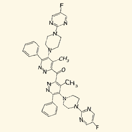 Cc1c(C(=O)c2nnc(-c3ccccc3)c(N3CCN(c4ncc(F)cn4)CC3)c2C)nnc(-c2ccccc2)c1N1CCN(c2ncc(F)cn2)CC1